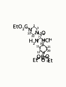 CCOC(=O)N1CCN(C(=O)C(N)Cc2ccc(P(=O)(OCC)OCC)cc2)CC1.Cl